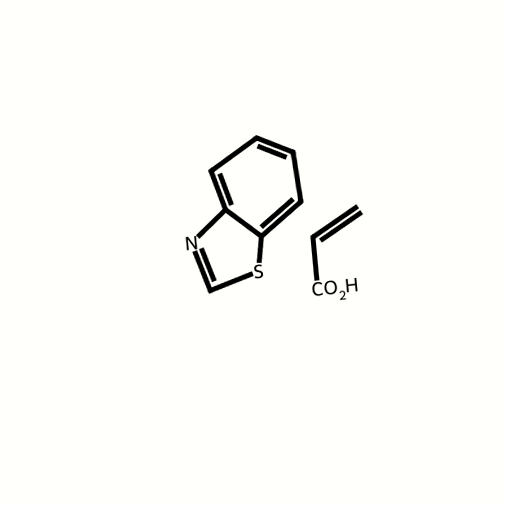 C=CC(=O)O.c1ccc2scnc2c1